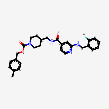 Cc1ccc(COC(=O)N2CCC(CNC(=O)c3ccnc(NCc4ccccc4F)c3)CC2)cc1